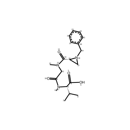 CC(C)[C@@H](C(=O)O)N(C)C(=O)CN(C)C(=O)[C@H]1CN1Cc1ccccc1